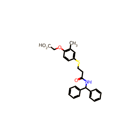 Cc1cc(SCCC(=O)NC(c2ccccc2)c2ccccc2)ccc1OCC(=O)O